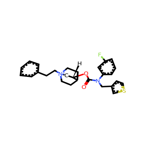 O=C(O[C@H]1C[N+]2(CCc3ccccc3)CCC1CC2)N(Cc1ccsc1)c1cccc(F)c1